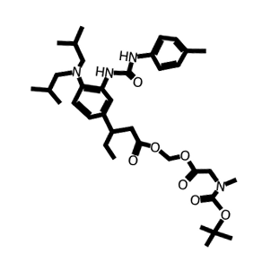 CCC(CC(=O)OCOC(=O)CN(C)C(=O)OC(C)(C)C)c1ccc(N(CC(C)C)CC(C)C)c(NC(=O)Nc2ccc(C)cc2)c1